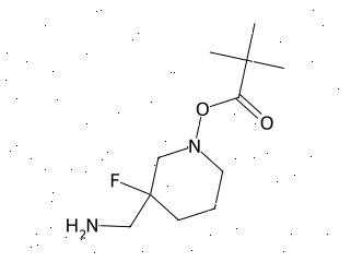 CC(C)(C)C(=O)ON1CCCC(F)(CN)C1